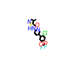 Cc1cnsc1C(=O)Nc1ccc(-c2cc3c(cc2Cl)OC(F)(F)O3)cn1